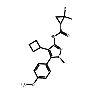 Cn1nc(NC(=O)[C@H]2CC2(F)F)c(C2CCC2)c1-c1ccc(OC(F)(F)F)cc1